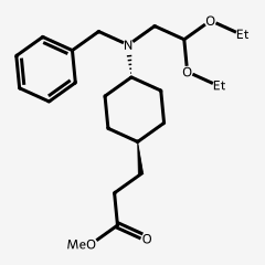 CCOC(CN(Cc1ccccc1)[C@H]1CC[C@H](CCC(=O)OC)CC1)OCC